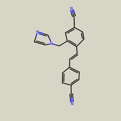 N#Cc1ccc(/C=C/c2ccc(C#N)cc2Cn2ccnc2)cc1